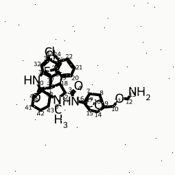 CN1[C@@H](C(=O)NC23CCC(COCN)(CC2)CC3)[C@H](c2cccc(Cl)c2F)[C@]2(C(=O)Nc3cc(Cl)ccc32)C12CCCCC2